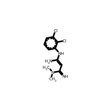 CN(C)C(=N)/C=C(\N)Nc1cccc(Cl)c1Cl